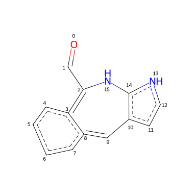 O=CC1=c2ccccc2=Cc2cc[nH]c2N1